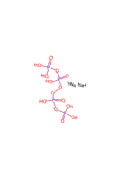 O=P(O)(O)OP(=O)(O)OOP(=O)(O)OP(=O)(O)O.[NaH].[NaH]